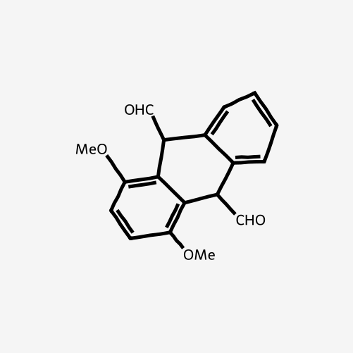 COc1ccc(OC)c2c1C(C=O)c1ccccc1C2C=O